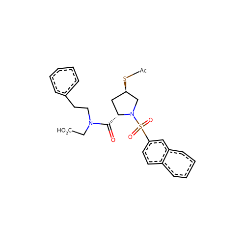 CC(=O)S[C@@H]1C[C@@H](C(=O)N(CCc2ccccc2)CC(=O)O)N(S(=O)(=O)c2ccc3ccccc3c2)C1